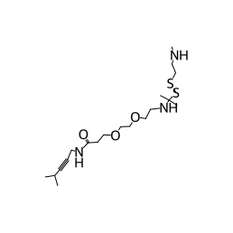 CNCCSSC(C)(C)NCCOCCOCCC(=O)NCC#CC(C)C